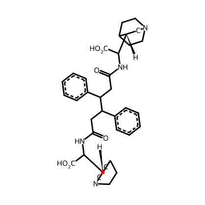 O=C(CC(c1ccccc1)C(CC(=O)NC(C(=O)O)[C@H]1CN2CCC1CC2)c1ccccc1)NC(C(=O)O)[C@H]1CN2CCC1CC2